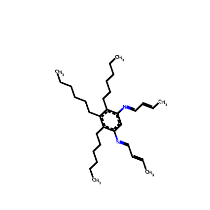 CC=CC=Nc1cc(N=CC=CC)c(CCCCCC)c(CCCCCC)c1CCCCCC